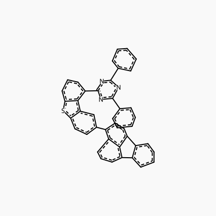 c1ccc(-c2nc(-c3ccccc3)nc(-c3cccc4sc5ccc(-c6ccc7c8c(cccc68)-c6ccccc6-7)cc5c34)n2)cc1